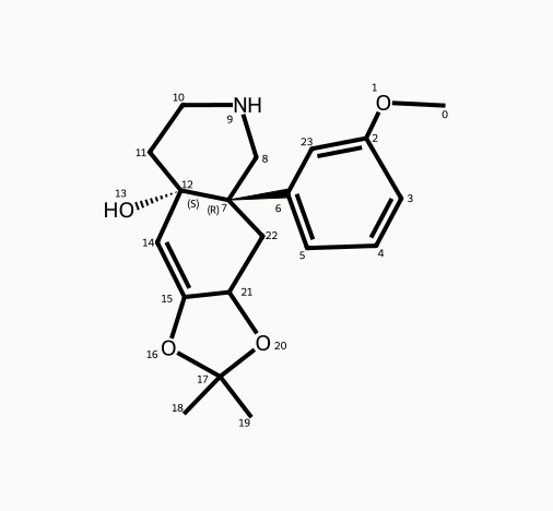 COc1cccc([C@]23CNCC[C@]2(O)C=C2OC(C)(C)OC2C3)c1